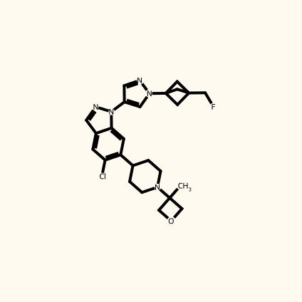 CC1(N2CCC(c3cc4c(cnn4-c4cnn(C56CC(CF)(C5)C6)c4)cc3Cl)CC2)COC1